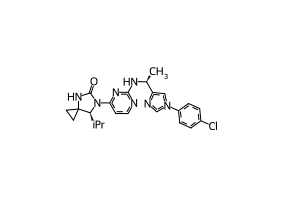 CC(C)[C@@H]1N(c2ccnc(N[C@@H](C)c3cn(-c4ccc(Cl)cc4)cn3)n2)C(=O)NC12CC2